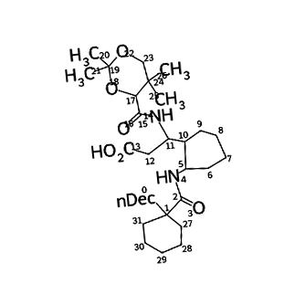 CCCCCCCCCCC1(C(=O)NC2CCCCC2C(CC(=O)O)NC(=O)C2OC(C)(C)OCC2(C)C)CCCCC1